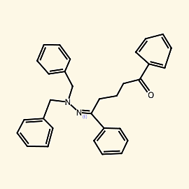 O=C(CCC/C(=N\N(Cc1ccccc1)Cc1ccccc1)c1ccccc1)c1ccccc1